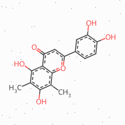 Cc1c(O)c(C)c2oc(-c3ccc(O)c(O)c3)cc(=O)c2c1O